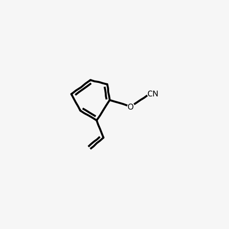 C=Cc1ccccc1OC#N